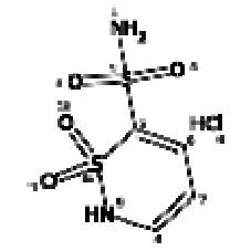 Cl.NS(=O)(=O)C1=CC=CNS1(=O)=O